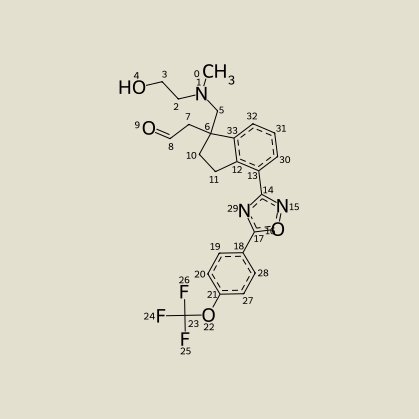 CN(CCO)CC1(CC=O)CCc2c(-c3noc(-c4ccc(OC(F)(F)F)cc4)n3)cccc21